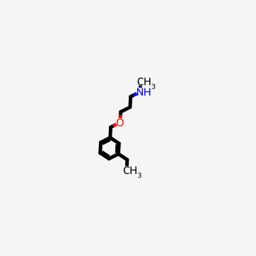 CCc1cccc(COCCCNC)c1